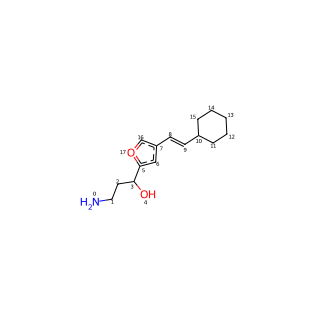 NCCC(O)c1cc(C=CC2CCCCC2)co1